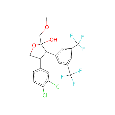 COCC1(O)OCC(c2ccc(Cl)c(Cl)c2)C1c1cc(C(F)(F)F)cc(C(F)(F)F)c1